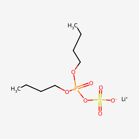 CCCCOP(=O)(OCCCC)OS(=O)(=O)[O-].[Li+]